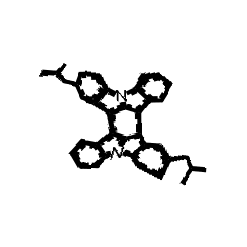 CC(C)Cc1ccc2c(c1)c1c3c4ccccc4n4c5ccc(CC(C)C)cc5c(c5c6ccccc6n2c51)c34